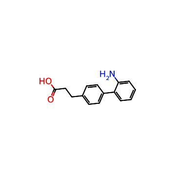 Nc1ccccc1-c1ccc(CCC(=O)O)cc1